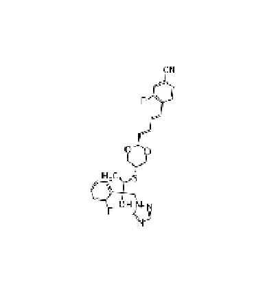 C[C@@H](S[C@H]1CO[C@H](/C=C/C=C/c2ccc(C#N)cc2F)OC1)[C@](O)(Cn1cncn1)c1ccccc1F